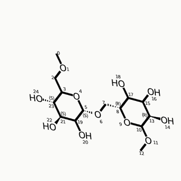 COCC1O[C@H](OC[C@H]2OC(OC)[C@H](O)C(O)C2O)C(O)[C@@H](O)[C@@H]1O